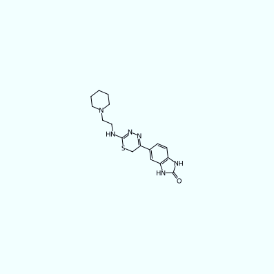 O=c1[nH]c2ccc(C3=NN=C(NCCN4CCCCC4)SC3)cc2[nH]1